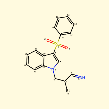 CCC(C=N)Cn1cc(S(=O)(=O)c2ccccc2)c2ccccc21